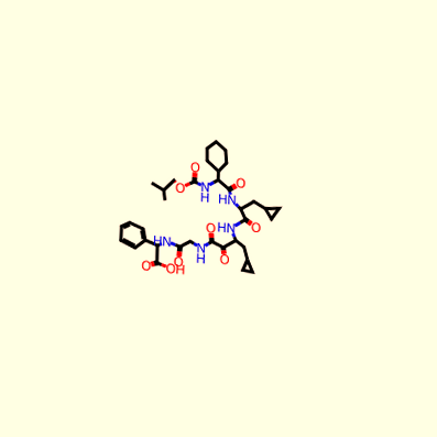 CC(C)COC(=O)NC(C(=O)NC(CC1CC1)C(=O)NC(CC1CC1)C(=O)C(=O)NCC(=O)NC(C(=O)O)c1ccccc1)C1CCCCC1